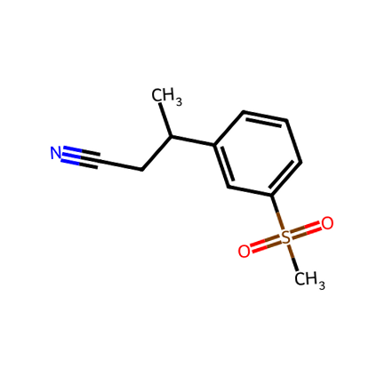 CC(CC#N)c1cccc(S(C)(=O)=O)c1